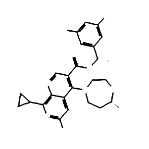 Cc1cc(Cl)cc([C@H](C)NC(=O)c2cnc3c(C4CC4)nc(C)cc3c2N2CCN[C@@H](C)CC2)c1